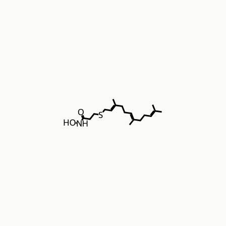 CC(C)=CCCC(C)=CCCC(C)=CCSCCC(=O)NO